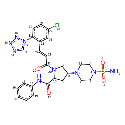 NS(=O)(=O)N1CCN([C@H]2CC(C(=O)Nc3ccccc3)N(C(=O)/C=C/c3cc(Cl)ccc3-n3cnnn3)C2)CC1